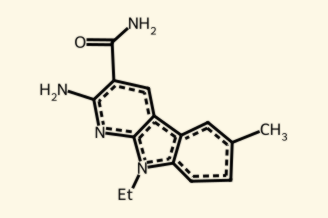 CCn1c2ccc(C)cc2c2cc(C(N)=O)c(N)nc21